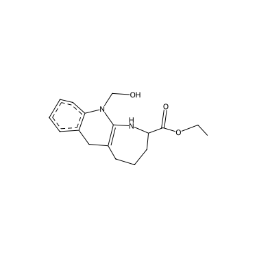 CCOC(=O)C1CCCC2=C(N1)N(CO)c1ccccc1C2